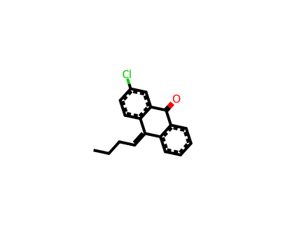 CCC/C=C1/c2ccccc2C(=O)c2cc(Cl)ccc21